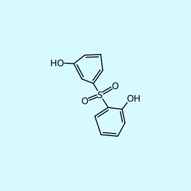 O=S(=O)(c1cccc(O)c1)c1ccccc1O